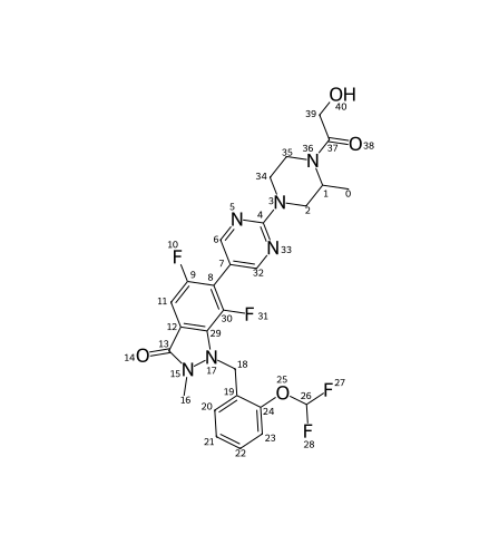 CC1CN(c2ncc(-c3c(F)cc4c(=O)n(C)n(Cc5ccccc5OC(F)F)c4c3F)cn2)CCN1C(=O)CO